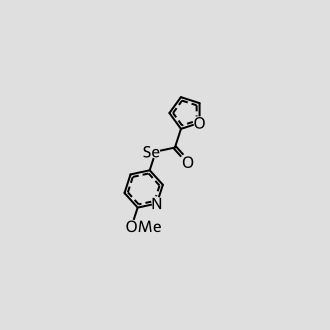 COc1ccc([Se]C(=O)c2ccco2)cn1